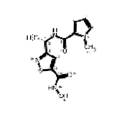 C[C@H](NC(=O)c1cccn1C)c1cc(C(=O)NO)sn1